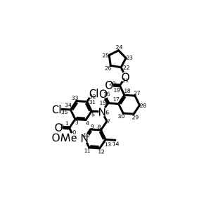 COC(=O)c1cc(N(Cc2cnccc2C)C(=O)C2=C(C(=O)OC3CCCC3)CCCC2)c(Cl)cc1Cl